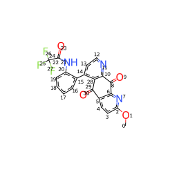 COc1ccc2c(n1)C(=O)c1nccc(-c3ccccc3NC(=O)C(F)(F)F)c1C2=O